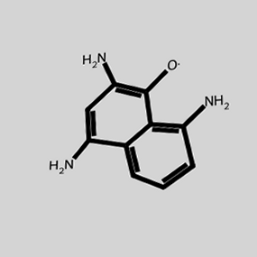 Nc1cc(N)c2cccc(N)c2c1[O]